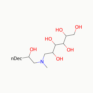 CCCCCCCCCCC(O)CN(C)CC(O)C(O)C(O)C(O)CO